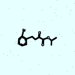 CC(C)OC(=O)C(=O)CCc1ccccc1Br